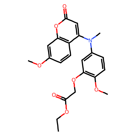 CCOC(=O)COc1cc(N(C)c2cc(=O)oc3cc(OC)ccc23)ccc1OC